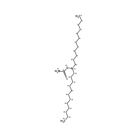 CCCCCCCCCCCCN(CCCCCCCCCCCC)SC(N)=S